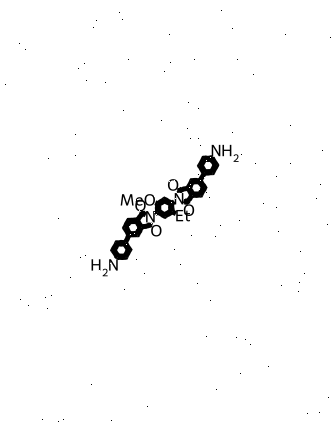 CCc1cc(N2C(=O)c3ccc(-c4ccc(N)cc4)cc3C2=O)c(OC)cc1N1C(=O)c2ccc(-c3ccc(N)cc3)cc2C1=O